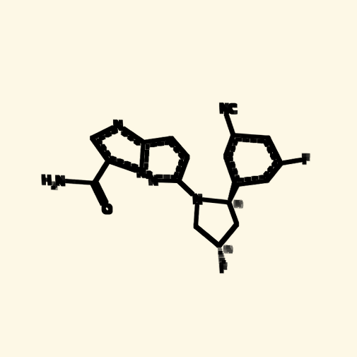 [C-]#[N+]c1cc(F)cc([C@H]2C[C@H](F)CN2c2ccc3ncc(C(N)=O)n3n2)c1